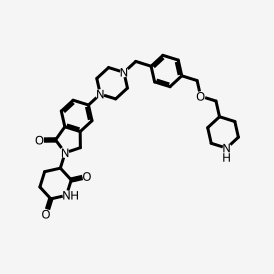 O=C1CCC(N2Cc3cc(N4CCN(Cc5ccc(COCC6CCNCC6)cc5)CC4)ccc3C2=O)C(=O)N1